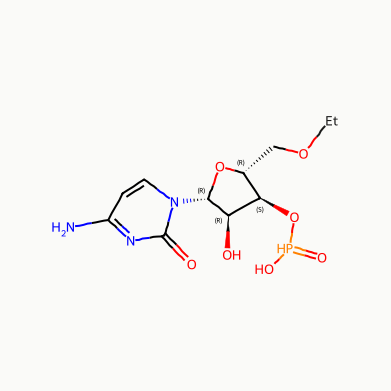 CCOC[C@H]1O[C@@H](n2ccc(N)nc2=O)[C@H](O)[C@@H]1O[PH](=O)O